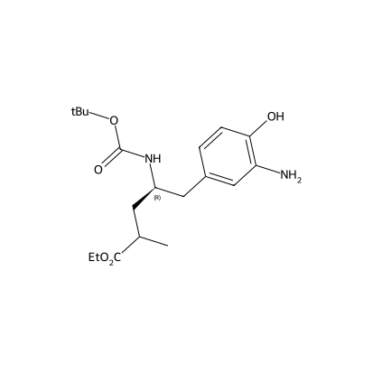 CCOC(=O)C(C)C[C@H](Cc1ccc(O)c(N)c1)NC(=O)OC(C)(C)C